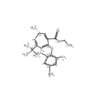 CCOC(=O)C1=C[C@@H](C)N=C(C(C)(C)C)N=C1Oc1c(C)cc(C)cc1C